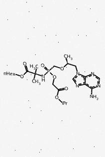 CCCCCCOC(=O)C(C)(C)NP(=O)(CO[C@@H](C)Cn1cnc2c(N)ncnc21)OCC(=O)OC(C)C